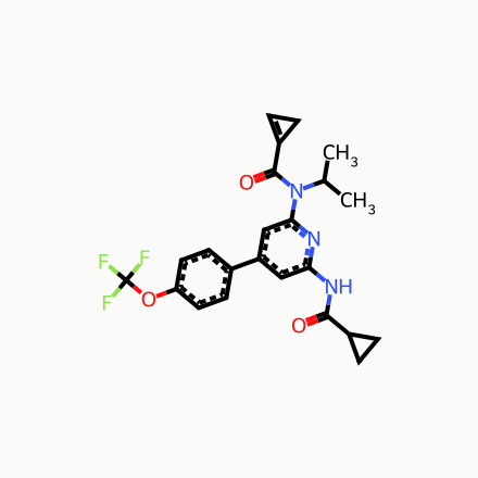 CC(C)N(C(=O)C1=CC1)c1cc(-c2ccc(OC(F)(F)F)cc2)cc(NC(=O)C2CC2)n1